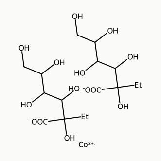 CCC(O)(C(=O)[O-])C(O)C(O)C(O)CO.CCC(O)(C(=O)[O-])C(O)C(O)C(O)CO.[Co+2]